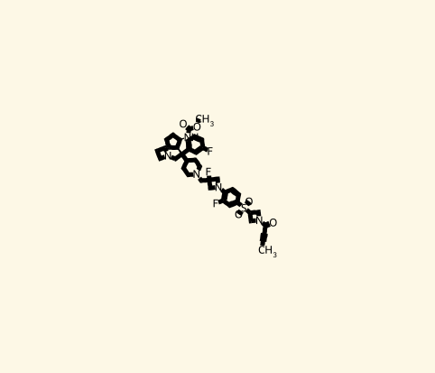 CC#CC(=O)N1CC(S(=O)(=O)c2ccc(N3CC(F)(CN4CCC(C(CN5CCC5)(c5cccc(F)c5)[C@H]5CCC[C@@H]5NC(=O)OC)CC4)C3)c(F)c2)C1